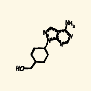 Nc1ncnc2c1cnn2C1CCC(CO)CC1